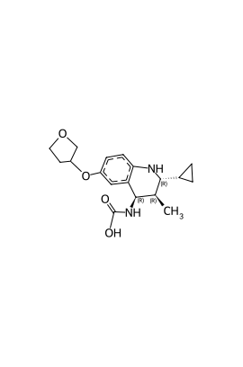 C[C@@H]1[C@@H](C2CC2)Nc2ccc(OC3CCOC3)cc2[C@@H]1NC(=O)O